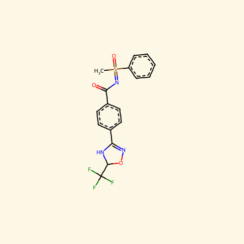 CS(=O)(=NC(=O)c1ccc(C2=NOC(C(F)(F)F)N2)cc1)c1ccccc1